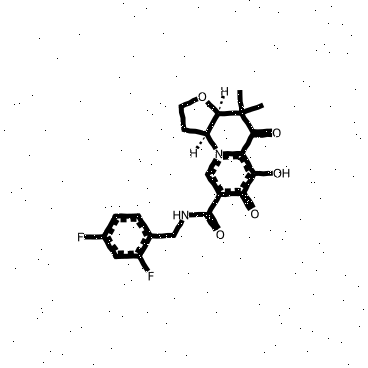 CC1(C)C(=O)c2c(O)c(=O)c(C(=O)NCc3ccc(F)cc3F)cn2[C@H]2CCO[C@H]21